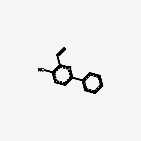 C=Cc1nc(-c2ccccc2)ccc1C#N